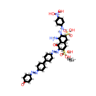 Nc1c(N=Nc2ccc(N(O)O)cc2)c(S(=O)(=O)O)cc2c1C(=O)C(=NN=C1C=CC(=C3C=CC(=NN=C4C=CC(=O)C=C4)C=C3)C=C1)C([S+](=O)(O)O)=C2.[Na+].[Na+]